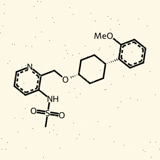 COc1ccccc1[C@H]1CC[C@@H](OCc2ncccc2NS(C)(=O)=O)CC1